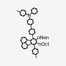 CCCCCCCCCc1c(CCCCCCCC)c(-c2ccc(C)cc2)c2c(c1-c1ccc(-c3ccc(N(c4ccccc4)c4ccc(C)cc4)cc3)cc1)-c1cccc3cccc-2c13